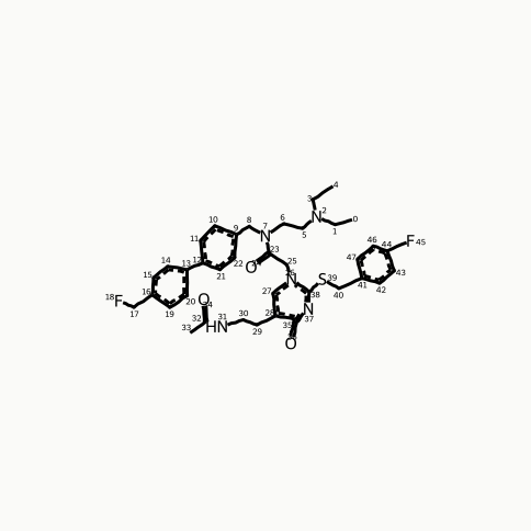 CCN(CC)CCN(Cc1ccc(-c2ccc(CF)cc2)cc1)C(=O)Cn1cc(CCNC(C)=O)c(=O)nc1SCc1ccc(F)cc1